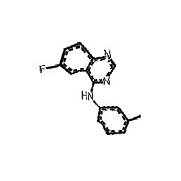 Cc1cccc(Nc2ncnc3ccc(F)cc23)c1